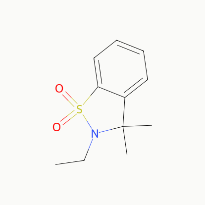 CCN1C(C)(C)c2ccccc2S1(=O)=O